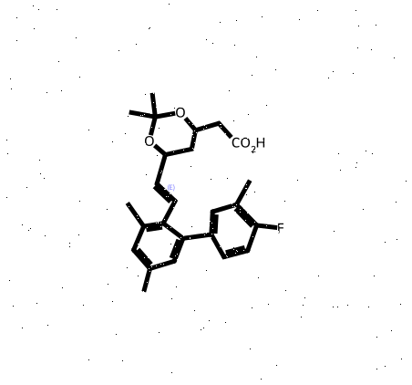 Cc1cc(C)c(/C=C/C2CC(CC(=O)O)OC(C)(C)O2)c(-c2ccc(F)c(C)c2)c1